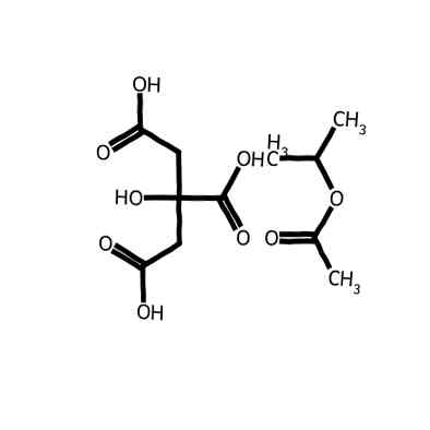 CC(=O)OC(C)C.O=C(O)CC(O)(CC(=O)O)C(=O)O